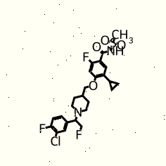 CS(=O)(=O)NC(=O)c1cc(C2CC2)c(OCC2CCN(C(CF)c3ccc(F)c(Cl)c3)CC2)cc1F